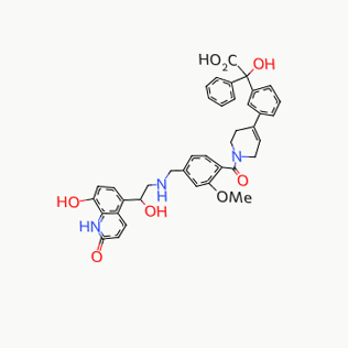 COc1cc(CNCC(O)c2ccc(O)c3[nH]c(=O)ccc23)ccc1C(=O)N1CC=C(c2cccc(C(O)(C(=O)O)c3ccccc3)c2)CC1